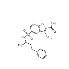 Cc1c(C(=O)O)oc2ccc(S(=O)(=O)NC(C)CCc3ccccc3)cc12